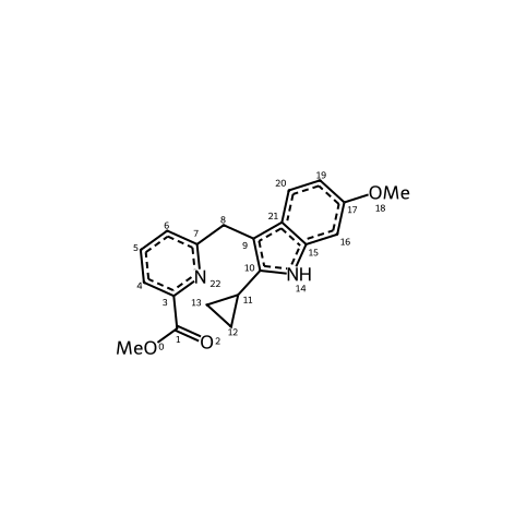 COC(=O)c1cccc(Cc2c(C3CC3)[nH]c3cc(OC)ccc23)n1